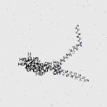 CCCCCCCC/C=C\CCCCCCCCCCCCCC(=O)N[C@@H](CO[C@@H]1O[C@H](CO)[C@@H](O[C@@H]2O[C@H](CO)[C@H](O[C@H]3O[C@H](CO)[C@H](O)[C@H](O)[C@H]3O)[C@H](O)[C@H]2O)[C@H](O)[C@H]1O)[C@H](O)/C=C/CCCCCCCCCCCCC